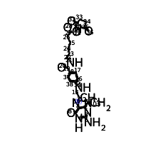 C=Nc1nc(N)[nH]c(=O)c1/N=C(\C)CNc1ccc(C(=O)NCCCCCC(=O)ON2C(=O)CCC2=O)cc1